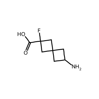 NC1CC2(C1)CC(F)(C(=O)O)C2